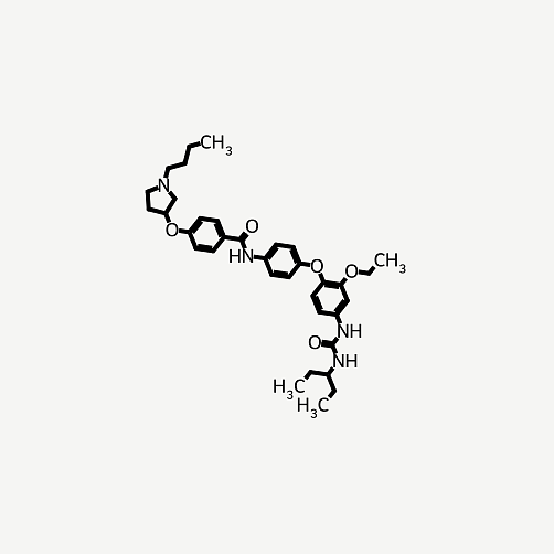 CCCCN1CCC(Oc2ccc(C(=O)Nc3ccc(Oc4ccc(NC(=O)NC(CC)CC)cc4OCC)cc3)cc2)C1